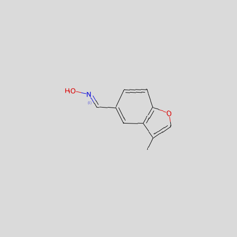 Cc1coc2ccc(/C=N/O)cc12